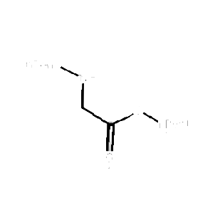 CCCCCNCC(=O)OCCCCC